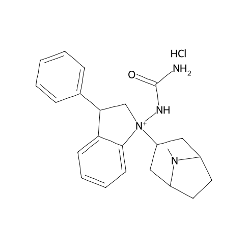 CN1C2CCC1CC([N+]1(NC(N)=O)CC(c3ccccc3)c3ccccc31)C2.Cl